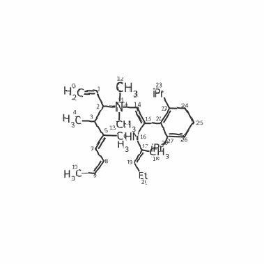 C=CC(C(C)/C(C)=C/C=C\C)[N+](C)(C)/C=C(\N/C(C)=C/CC)C1=C(C(C)C)CCC=C1C(C)C